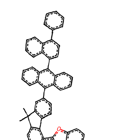 CC1(C)c2cc(-c3c4ccccc4c(-c4ccc(-c5ccccc5)c5ccccc45)c4ccccc34)ccc2-c2c1ccc1ccc3c4ccccc4oc3c21